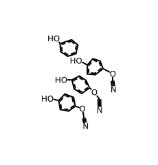 N#COc1ccc(O)cc1.N#COc1ccc(O)cc1.N#COc1ccc(O)cc1.Oc1ccccc1